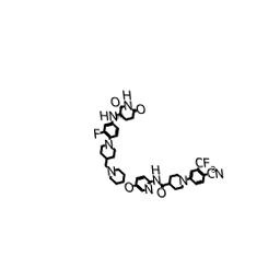 N#Cc1ccc(N2CCC(C(=O)Nc3ccc(OC4CCN(CC5CCN(c6ccc(N[C@@H]7CCC(=O)NC7=O)cc6F)CC5)CC4)cn3)CC2)cc1C(F)(F)F